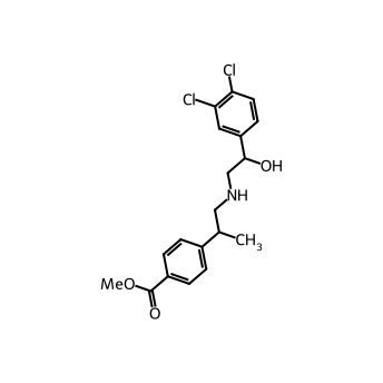 COC(=O)c1ccc(C(C)CNCC(O)c2ccc(Cl)c(Cl)c2)cc1